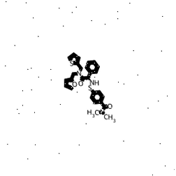 CN(C)C(=O)c1ccc(SN[C@@H](C(=O)N(Cc2ccco2)Cc2cccs2)c2ccccc2)cc1